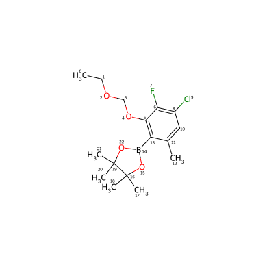 CCOCOc1c(F)c(Cl)cc(C)c1B1OC(C)(C)C(C)(C)O1